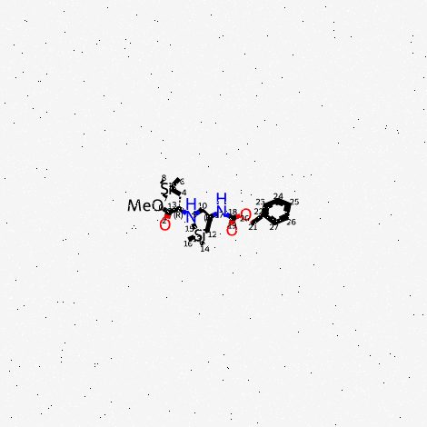 COC(=O)[C@H](C[Si](C)(C)C)NC[C@H](C[Si](C)(C)C)NC(=O)OCc1ccccc1